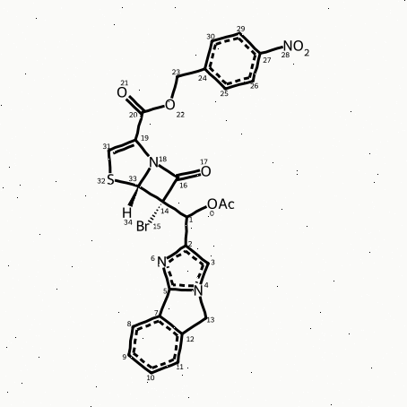 CC(=O)OC(c1cn2c(n1)-c1ccccc1C2)[C@]1(Br)C(=O)N2C(C(=O)OCc3ccc([N+](=O)[O-])cc3)=CS[C@H]21